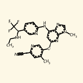 CCNC(c1ccc(Nc2cc(Oc3cnc(C#N)cc3C)nc3c2ncn3C)nc1)C(F)(F)F